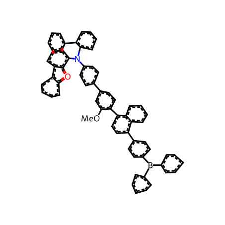 COc1cc(-c2ccc(N(c3ccccc3-c3ccccc3)c3cccc4c3oc3ccccc34)cc2)ccc1-c1ccc(-c2ccc(B(c3ccccc3)c3ccccc3)cc2)c2ccccc12